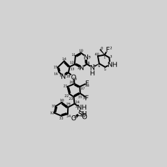 C[C@@]1(F)CNC[C@@H](Nc2nccc(-c3cccnc3Oc3ccc(C(N[SH](=O)=O)c4ccccc4)c(F)c3F)n2)C1